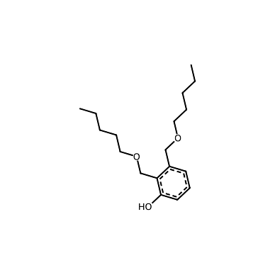 CCCCCOCc1cccc(O)c1COCCCCC